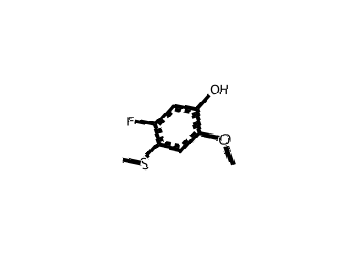 COc1cc(SC)c(F)cc1O